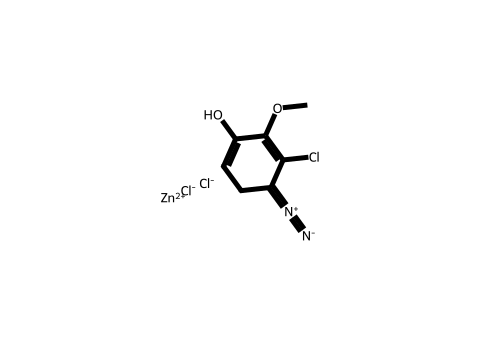 COC1=C(Cl)C(=[N+]=[N-])CC=C1O.[Cl-].[Cl-].[Zn+2]